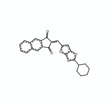 O=C1C(=Cc2cc3oc(C4CCCCC4)nc3o2)C(=O)c2cc3ccccc3cc21